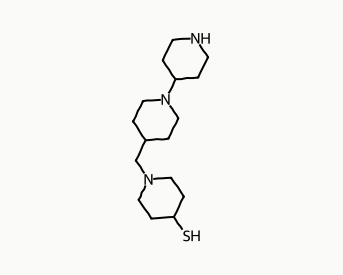 SC1CCN(CC2CCN(C3CCNCC3)CC2)CC1